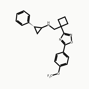 FC(F)(F)Oc1ccc(-c2nc(C3(CNC4C[C@@H]4c4ccccc4)CCC3)no2)cc1